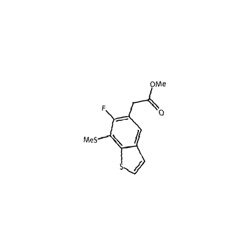 COC(=O)Cc1cc2ccsc2c(SC)c1F